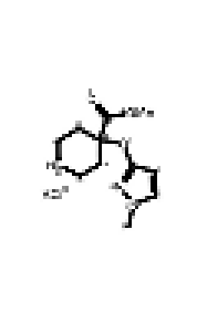 COC(=O)C1(Oc2ccn(C)n2)CCNCC1.Cl